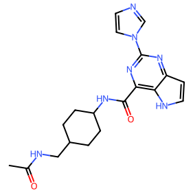 CC(=O)NCC1CCC(NC(=O)c2nc(-n3ccnc3)nc3cc[nH]c23)CC1